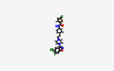 O=C(NC1CCC(CCN2CCN(c3noc4cc(F)c(Cl)cc34)CC2)CC1)c1ccc(Cl)s1